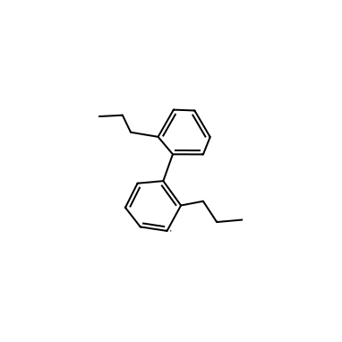 CCCc1[c]cccc1-c1ccccc1CCC